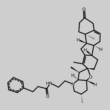 CC1=C2C[C@H]3[C@@H](CC=C4CC(=O)CC[C@@]43C)[C@@H]2CC[C@]12O[C@@H]1C[C@H](C)CN(CCNC(=O)CCc3ccccc3)[C@H]1[C@H]2C